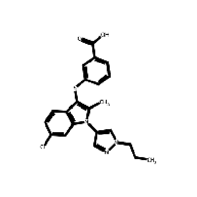 CCCn1cc(-n2c(C)c(Sc3cccc(C(=O)O)c3)c3ccc(Cl)cc32)cn1